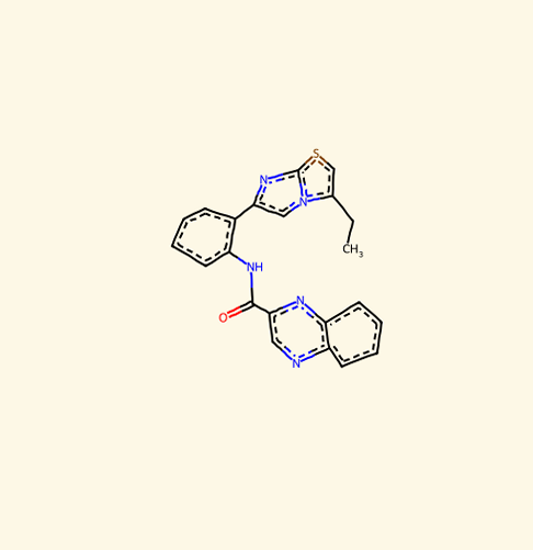 CCc1csc2nc(-c3ccccc3NC(=O)c3cnc4ccccc4n3)cn12